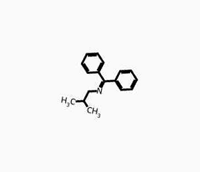 CC(C)CN=C(c1ccccc1)c1ccccc1